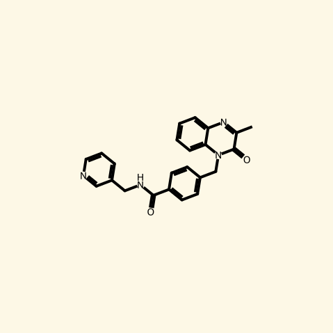 Cc1nc2ccccc2n(Cc2ccc(C(=O)NCc3cccnc3)cc2)c1=O